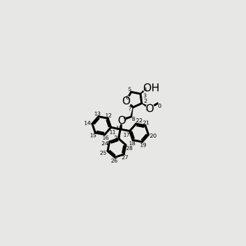 CO[C@@H]1[C@H](O)CO[C@@H]1COC(c1ccccc1)(c1ccccc1)c1ccccc1